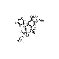 CC[C@]1(C(=O)CCC(F)(F)F)CS(=O)(=O)c2cc(OC)c(OC)cc2[C@H](c2ccccc2)N1